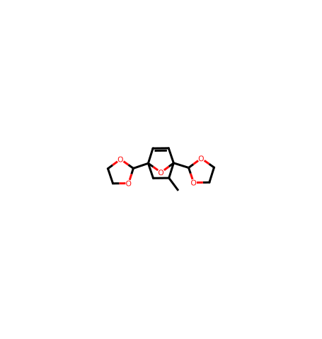 CC1CC2(C3OCCO3)C=CC1(C1OCCO1)O2